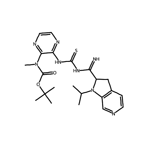 CC(C)N1c2cnccc2CC1C(=N)NC(=S)Nc1nccnc1N(C)C(=O)OC(C)(C)C